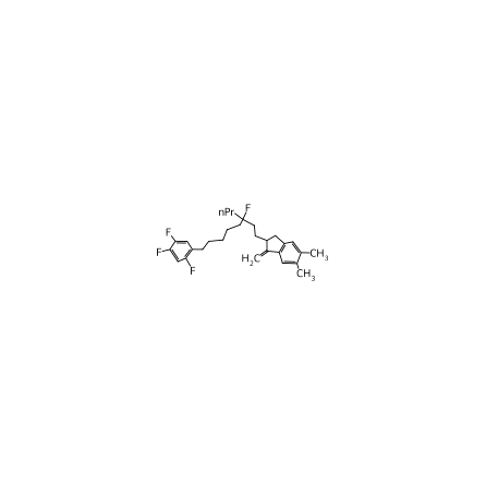 C=C1c2cc(C)c(C)cc2CC1CCC(F)(CCC)CCCCCc1cc(F)c(F)cc1F